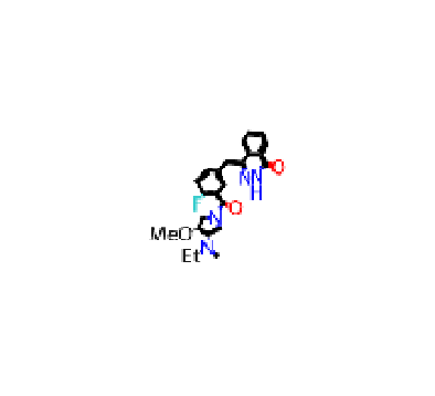 CCN(C)[C@H]1CN(C(=O)c2cc(Cc3n[nH]c(=O)c4ccccc34)ccc2F)C[C@H]1OC